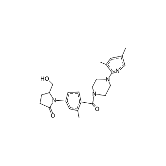 Cc1cnc(N2CCN(C(=O)c3ccc(N4C(=O)CCC4CO)cc3C)CC2)c(C)c1